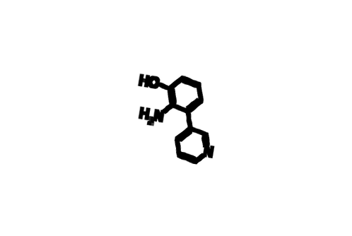 Nc1c(O)cccc1-c1cccnc1